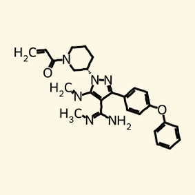 C=CC(=O)N1CCC[C@H](n2nc(-c3ccc(Oc4ccccc4)cc3)c(/C(N)=N\C)c2N=C)C1